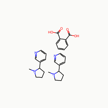 CN1CCCC1c1cccnc1.CN1CCCC1c1cccnc1.O=C(O)c1ccccc1C(=O)O